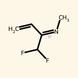 C=C/C(=N\C)C(F)F